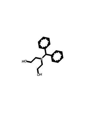 OCCN(CCO)C(c1ccccc1)c1ccccc1